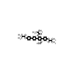 C=C(C)C(=O)Oc1ccc(-c2ccc(-c3cc(OCCCC)c(-c4ccc(OC(=O)C(=C)C)cc4)cc3OC(=O)C(=C)C)cc2)cc1